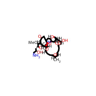 C=C1C[C@@H]2CC[C@]34C[C@@H](O)[C@H](O3)C3O[C@H]5CC[C@@H]6CC(=O)C[C@@H]7[C@@H](OC)[C@@H](C[C@H](O)CN)O[C@H]7C[C@H]7O[C@@H](CC[C@@H]1O2)C[C@@H](C)/C7=N\[C@@]5(O6)[C@H](O4)[C@@H]3C